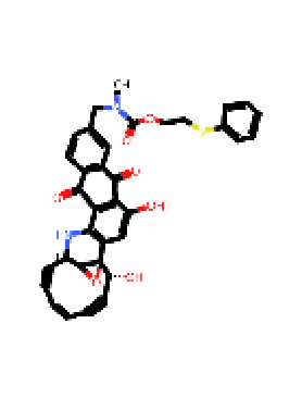 CN(Cc1ccc2c(c1)C(=O)c1c(O)cc3c(c1C2=O)N[C@H]1C#C/C=C\C#C[C@@H](O)[C@@]32OC12)C(=O)OCCSc1ccccc1